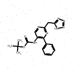 CC(C)(C)OC(=O)Nc1cnc(Cc2nnn[nH]2)nc1-c1ccccc1